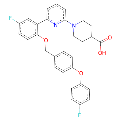 O=C(O)C1CCN(c2cccc(-c3cc(F)ccc3OCc3ccc(Oc4ccc(F)cc4)cc3)n2)CC1